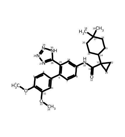 COc1ccc(-c2ccc(NC(=O)C3(C4CCC(C)(C)CC4)CC3)cc2-c2nnn[nH]2)cc1OC